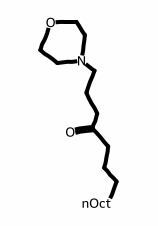 CCCCCCCCCCCC(=O)CCCN1CCOCC1